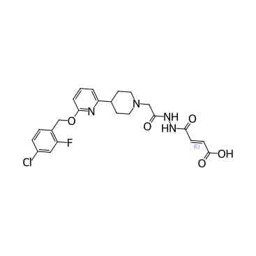 O=C(O)/C=C/C(=O)NNC(=O)CN1CCC(c2cccc(OCc3ccc(Cl)cc3F)n2)CC1